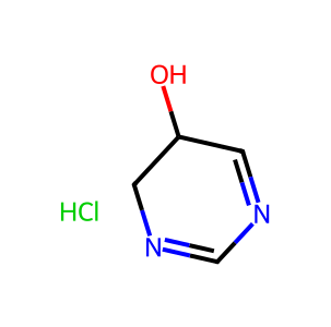 Cl.OC1C=NC=NC1